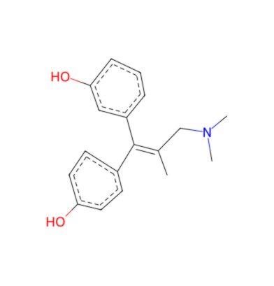 C/C(CN(C)C)=C(\c1ccc(O)cc1)c1cccc(O)c1